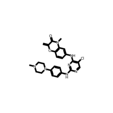 C=C1Oc2ccc(Nc3nc(Nc4ccc(N5CCN(C)CC5)cc4)ncc3Cl)cc2N(C)C1=O